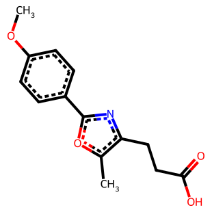 COc1ccc(-c2nc(CCC(=O)O)c(C)o2)cc1